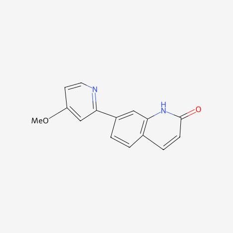 COc1ccnc(-c2ccc3ccc(=O)[nH]c3c2)c1